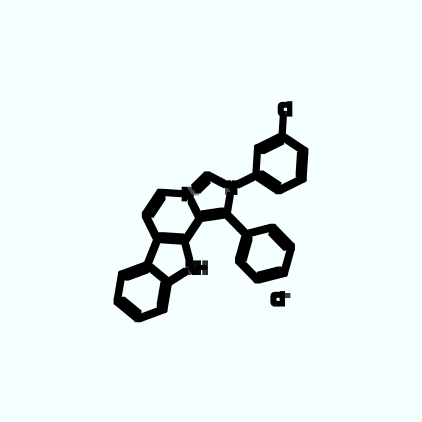 Clc1cccc(-n2c[n+]3ccc4c5ccccc5[nH]c4c3c2-c2ccccc2)c1.[Cl-]